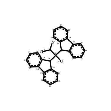 Cl[CH]([Zr])C(Cl)(C1c2ccccc2-c2ccccc21)C1c2ccccc2-c2ccccc21